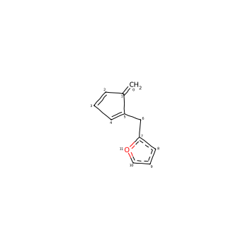 C=C1C=CC=C1Cc1ccco1